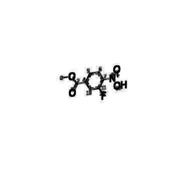 COC(=O)c1ccc([N+](=O)O)c(F)c1